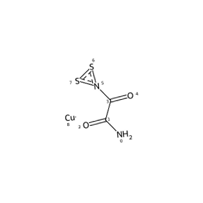 NC(=O)C(=O)n1ss1.[Cu]